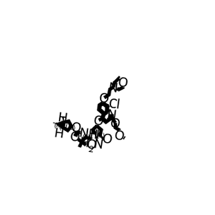 COCCOc1cc(OC2C[C@@H](C(N)=O)N(C(=O)[C@@H](NC(=O)O[C@@H]3C[C@@H]4[C@H](C)[C@@H]4C3)C(C)(C)C)C2)c2ccc(OCCN3CCOCC3)c(Cl)c2n1